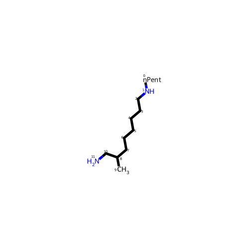 CCCCCNCCCCCCC(C)CN